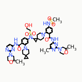 Cc1cc(NC(=O)c2ccc(NS(C)(=O)=O)cc2N2CCC3(CC2)CC3N(c2ccc(C(=O)Nc3ccnc(N4CCO[C@H](C)C4)n3)c(N3CCC4(CC3)CC4)c2)S(=O)(=O)CCO)nc(N2CCO[C@H](C)C2)n1